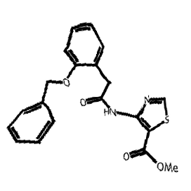 COC(=O)c1scnc1NC(=O)Cc1ccccc1OCc1ccccc1